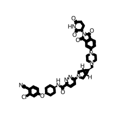 N#Cc1ccc(O[C@H]2CC[C@H](NC(=O)c3ccc(N4C[C@@H]5[C@@H](CN6CCN(c7ccc8c(c7)C(=O)N(C7CCC(=O)NC7=O)C8=O)CC6)[C@@H]5C4)nn3)CC2)cc1Cl